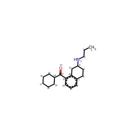 CCCNC1CCc2cccc(C(=O)C3CCCCC3)c2C1